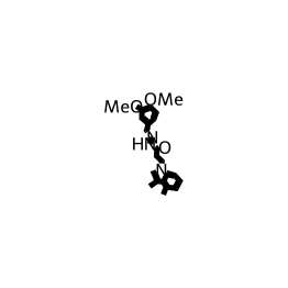 COc1ccc(C=NNC(=O)CCn2cc(C)c3c(C)cccc32)cc1OC